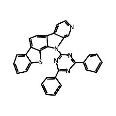 c1ccc(-c2nc(-c3ccccc3)nc(-n3c4cnccc4c4ccc5c6ccccc6sc5c43)n2)cc1